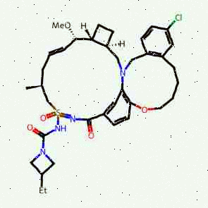 CCC1CN(C(=O)NS2(=O)=NC(=O)c3ccc4c(c3)N(Cc3ccc(Cl)cc3CCCCO4)C[C@@H]3CC[C@H]3[C@@H](OC)/C=C/C[C@H](C)C2)C1